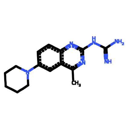 Cc1nc(NC(=N)N)nc2ccc(N3CCCCC3)cc12